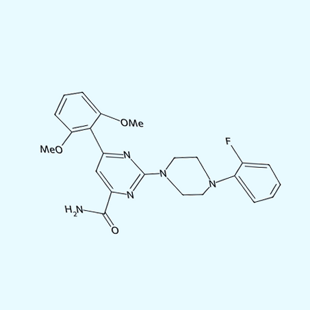 COc1cccc(OC)c1-c1cc(C(N)=O)nc(N2CCN(c3ccccc3F)CC2)n1